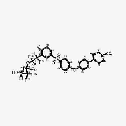 COc1ccc(-c2ccc(Oc3ccc(S(=O)(=O)c4ccc(C)c(C(F)(F)C(F)(F)OC(F)(F)C(F)(F)S(=O)(=O)O)c4)cc3)cc2)cc1